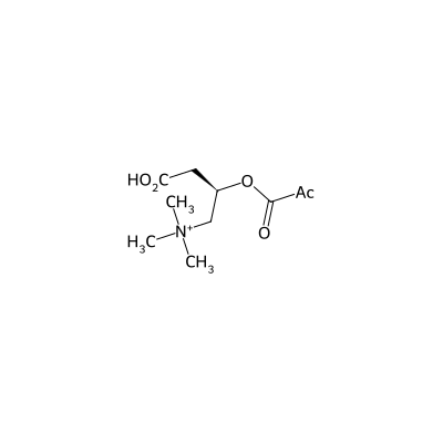 CC(=O)C(=O)O[C@H](CC(=O)O)C[N+](C)(C)C